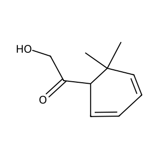 CC1(C)C=CC=CC1C(=O)CO